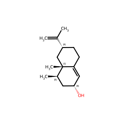 C=C(C)[C@@H]1CCC2=C[C@H](O)C[C@@H](C)[C@]2(C)C1